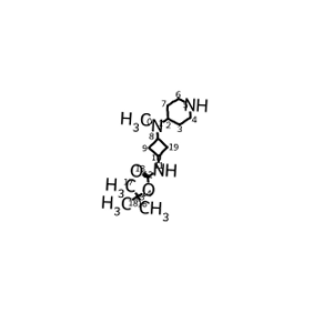 CN(C1CCNCC1)C1CC(NC(=O)OC(C)(C)C)C1